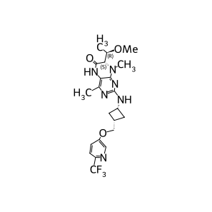 CO[C@H](C)[C@H]1C(=O)Nc2c(C)nc(N[C@H]3C[C@@H](COc4ccc(C(F)(F)F)nc4)C3)nc2N1C